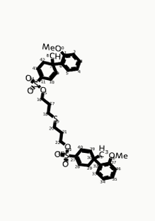 COc1ccccc1C1(C)C=CC(S(=O)(=O)OCCCSCCCOS(=O)(=O)C2=CCC(C)(c3ccccc3OC)C=C2)=CC1